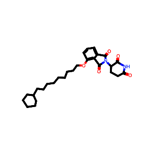 O=C1CCC(N2C(=O)c3cccc(OCCCCCCCCCC4CCCCC4)c3C2=O)C(=O)N1